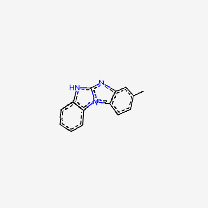 Cc1ccc2c(c1)nc1[nH]c3ccccc3n12